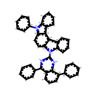 c1ccc(-c2nc(-n3c4ccccc4c4c5c6ccccc6n(-c6ccccc6)c5ccc43)nc3c(-c4ccccc4)cccc23)cc1